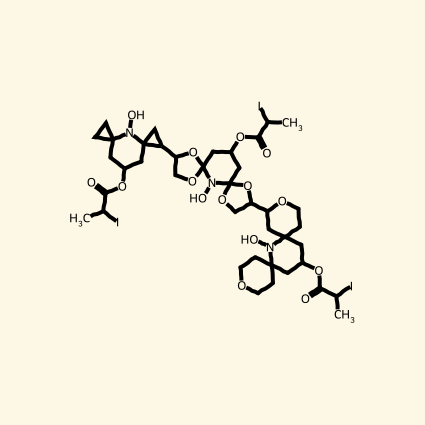 CC(I)C(=O)OC1CC2(CCOCC2)N(O)C2(CCOC(C3COC4(CC(OC(=O)C(C)I)CC5(OCC(C6CC67CC(OC(=O)C(C)I)CC6(CC6)N7O)O5)N4O)O3)C2)C1